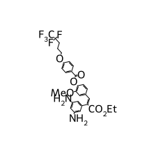 CCOC(=O)C(=Cc1ccc(OC(=O)c2ccc(OCCCC(F)(F)C(F)(F)F)cc2)c(OC)c1)c1cc(N)cc(N)c1